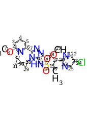 COc1cccc(-c2nnc(NS(=O)(=O)[C@@H](C)[C@H](OC)c3ncc(Cl)cn3)n2[C@H]2CC23CC3)n1